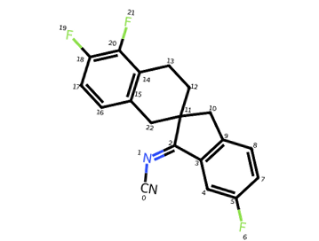 N#C/N=C1\c2cc(F)ccc2CC12CCc1c(ccc(F)c1F)C2